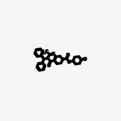 Cc1nc2c(c(=O)n1C(c1ccccc1)c1ccccc1)CCN(C(=O)OC1CCC(=O)CC1)C2